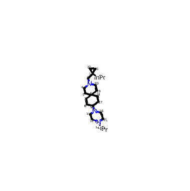 CCCC1(CN2CCC3(CCC(N4CCN(C(C)C)CC4)CC3)CC2)CC1